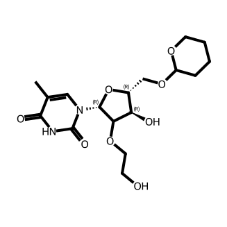 Cc1cn([C@@H]2O[C@H](COC3CCCCO3)[C@@H](O)C2OCCO)c(=O)[nH]c1=O